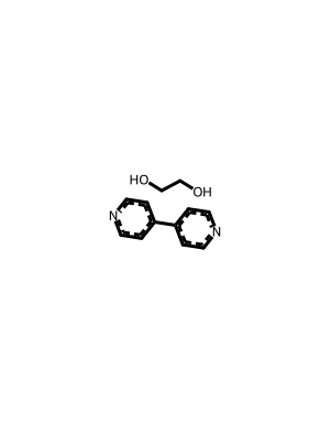 OCCO.c1cc(-c2ccncc2)ccn1